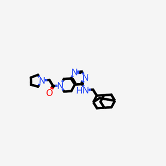 O=C(CN1CCCC1)N1CCc2c(ncnc2NCC2C3CC4CC(C3)CC2C4)C1